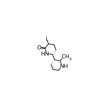 C[C@H]1NCCC[C@@H]1[C@H]1CCC(I)C(=O)N1